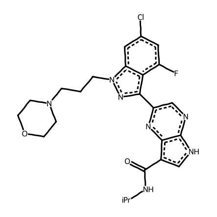 CC(C)NC(=O)c1c[nH]c2ncc(-c3nn(CCCN4CCOCC4)c4cc(Cl)cc(F)c34)nc12